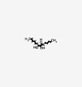 CCCCCSC(O)C(O)C(O)SCCCCC